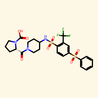 O=C([C@@H]1CCCN1C(=O)O)N1CCC(NS(=O)(=O)c2ccc(S(=O)(=O)c3ccccc3)cc2C(F)(F)F)CC1